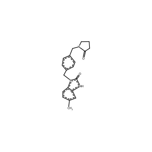 Cc1ccc2c(c1)[nH]c(=O)n2Cc1ccc(CN2CCCC2=O)cc1